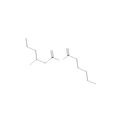 CCCCCC(=O)OC(=O)CC(C)CCC